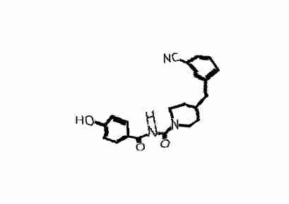 N#Cc1cccc(CC2CCN(C(=O)NC(=O)c3ccc(O)cc3)CC2)c1